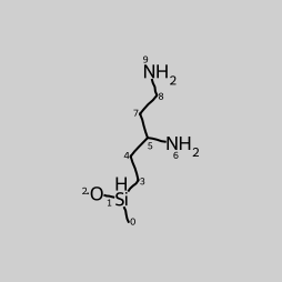 C[SiH]([O])CCC(N)CCN